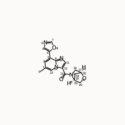 Cc1cc(-c2cnco2)c2ncc(C(=O)N3C[C@@H]4C[C@H]3CO4)n2c1